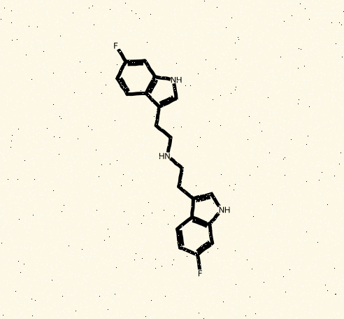 Fc1ccc2c(CCNCCc3c[nH]c4cc(F)ccc34)c[nH]c2c1